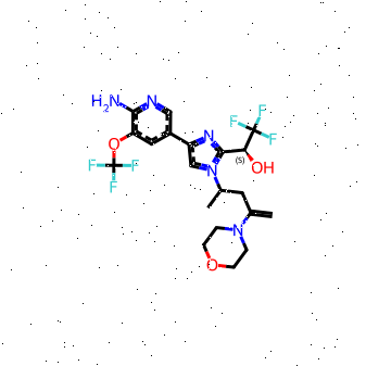 C=C(CC(C)n1cc(-c2cnc(N)c(OC(F)(F)F)c2)nc1[C@H](O)C(F)(F)F)N1CCOCC1